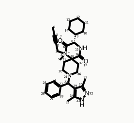 CC#CC[N+]1(C)C(=O)[C@H](C2CCCCC2)NC(=O)C12CCN(C(c1ccccc1)c1c(C)n[nH]c1C)CC2